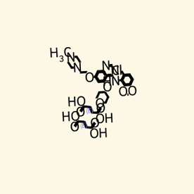 CN1CCN(CCOc2cc(OC3CCOCC3)c3c(Nc4c(Cl)ccc5c4OCO5)ncnc3c2)CC1.O=C(O)/C=C/C(=O)O.O=C(O)/C=C/C(=O)O